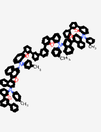 Cc1ccc(N(c2cc3oc4cc(N(c5ccc(C)cc5)c5cccc6c5oc5c(-c7cccc(-c8cccc(-c9cccc%10c9oc9c(N(c%11cccc(C)c%11)c%11cc%12oc%13cc(N(c%14cccc(C)c%14)c%14cccc%15c%14oc%14c(-c%16ccccc%16)cccc%14%15)c%14ccccc%14c%13c%12c%12ccccc%11%12)cccc9%10)c8)c7)cccc56)c5ccccc5c4c3c3ccccc23)c2cccc3c2oc2c(-c4ccccc4)cccc23)cc1